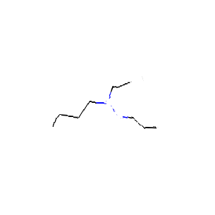 CCCCN(CC)NCCC